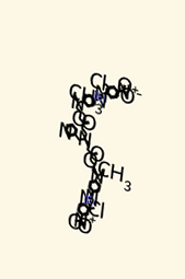 CCN(CCOC(=O)CCN(CCC(=O)OCCN(CC)c1ccc(/N=N/c2ccc([N+](=O)[O-])cc2Cl)cc1)Cc1cccnc1)c1ccc(/N=N/c2ccc([N+](=O)[O-])cc2Cl)cc1